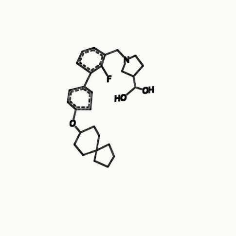 OC(O)C1CCN(Cc2cccc(-c3ccc(OC4CCC5(CCCC5)CC4)cc3)c2F)C1